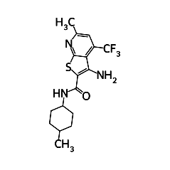 Cc1cc(C(F)(F)F)c2c(N)c(C(=O)NC3CCC(C)CC3)sc2n1